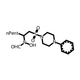 CCCCCC(CS(=O)(=O)N1CCN(c2ccccc2)CC1)N(O)C=O